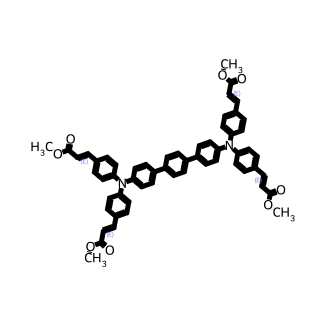 COC(=O)/C=C/c1ccc(N(c2ccc(/C=C/C(=O)OC)cc2)c2ccc(-c3ccc(-c4ccc(N(c5ccc(/C=C/C(=O)OC)cc5)c5ccc(/C=C/C(=O)OC)cc5)cc4)cc3)cc2)cc1